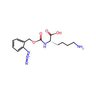 [N-]=[N+]=Nc1ccccc1COC(=O)N[C@@H](CCCCN)C(=O)O